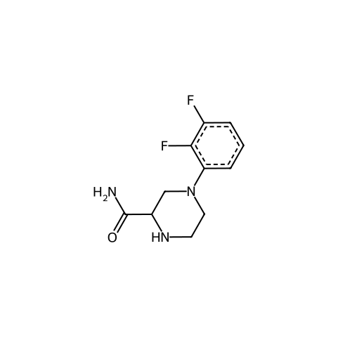 NC(=O)C1CN(c2cccc(F)c2F)CCN1